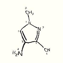 Cn1cc(N)c(C#N)n1